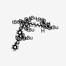 CC(C)(C)OC(=O)/N=C(/NCCCCCCCCN(C(=O)OC(C)(C)C)/C(=N/C(=O)OC(C)(C)C)N(CCOc1ccc(C2=NCC(OCc3ccccc3)CN2C(=O)OC(C)(C)C)cc1)C(=O)OC(C)(C)C)NC(=O)OC(C)(C)C